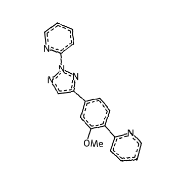 COc1cc(-c2cnn(-c3ccccn3)n2)ccc1-c1ccccn1